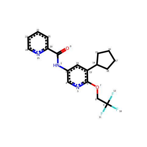 O=C(Nc1cnc(OCC(F)(F)F)c(C2CCCC2)c1)c1ccccn1